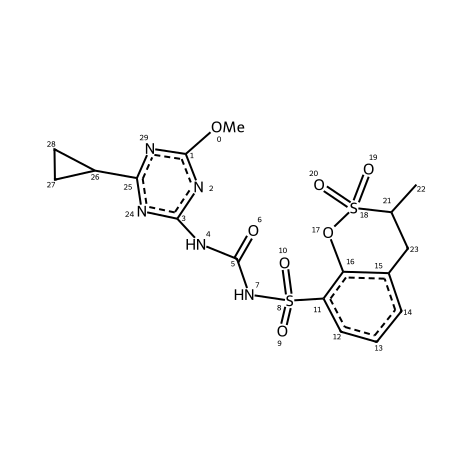 COc1nc(NC(=O)NS(=O)(=O)c2cccc3c2OS(=O)(=O)C(C)C3)nc(C2CC2)n1